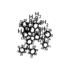 Bc1c(B)c(B)c2c(B)c(C3(c4cccc5c4oc4ccccc45)c4ccc(N(c5ccccc5)c5ccccc5)cc4-c4cc(N(c5ccccc5)c5ccccc5)ccc43)c(B)c(B)c2c1B